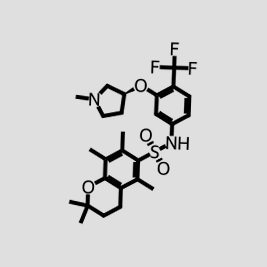 Cc1c(C)c(S(=O)(=O)Nc2ccc(C(F)(F)F)c(O[C@H]3CCN(C)C3)c2)c(C)c2c1OC(C)(C)CC2